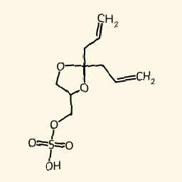 C=CCC1(CC=C)OCC(COS(=O)(=O)O)O1